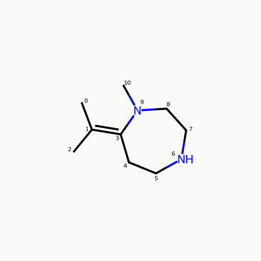 CC(C)=C1CCNCCN1C